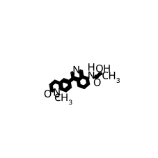 C[C@H](O)C(=O)N[C@H]1CCCc2c(-c3ccc4c(c3)CCC(=O)N4C)cncc21